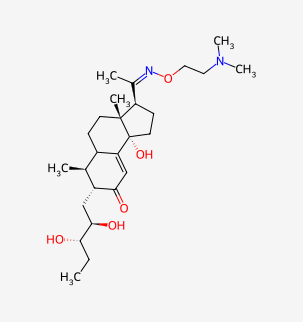 CC[C@H](O)[C@H](O)C[C@H]1C(=O)C=C2C(CC[C@]3(C)[C@@H](/C(C)=N\OCCN(C)C)CC[C@@]23O)[C@@H]1C